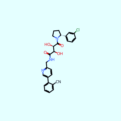 N#Cc1ccccc1-c1ccc(CNC(=O)C(O)[C@@H](O)C(=O)N2CCC[C@@H]2c2cccc(Cl)c2)nc1